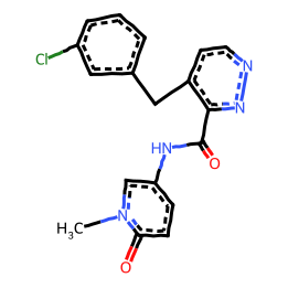 Cn1cc(NC(=O)c2nnccc2Cc2cccc(Cl)c2)ccc1=O